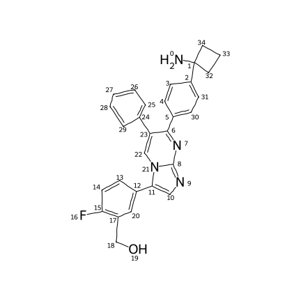 NC1(c2ccc(-c3nc4ncc(-c5ccc(F)c(CO)c5)n4cc3-c3ccccc3)cc2)CCC1